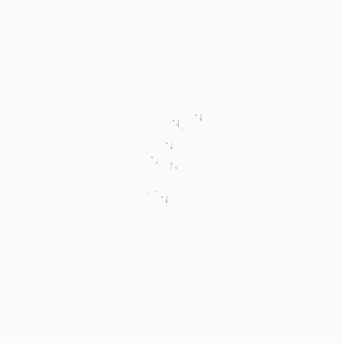 O=C(c1cnc(NCc2cnccn2)nc1)N1CC2(CCOCC2)C1